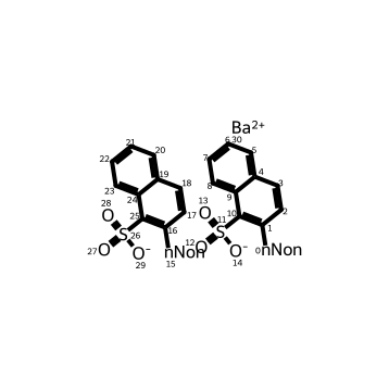 CCCCCCCCCc1ccc2ccccc2c1S(=O)(=O)[O-].CCCCCCCCCc1ccc2ccccc2c1S(=O)(=O)[O-].[Ba+2]